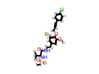 CCS(=O)(=O)NC(C(=O)NCCc1cc(Br)c(OCC#Cc2ccc(Cl)cc2)c(OC)c1)C(C)C